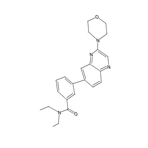 CCN(CC)C(=O)c1cccc(-c2ccc3ncc(N4CCOCC4)nc3c2)c1